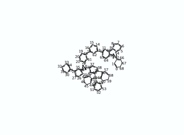 C1=CC(n2c3ccccc3c3cc(-c4cccc(-c5cccc(N(c6cccc(-c7ccccc7)c6)c6ccc7c(c6)C(C6=CCCC=C6)(c6ccccc6)C6=C7C=CCC6)c5)c4)ccc32)=CCC1